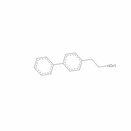 CCCCCCCCCCc1ccc(-c2cc[c]cc2)cc1